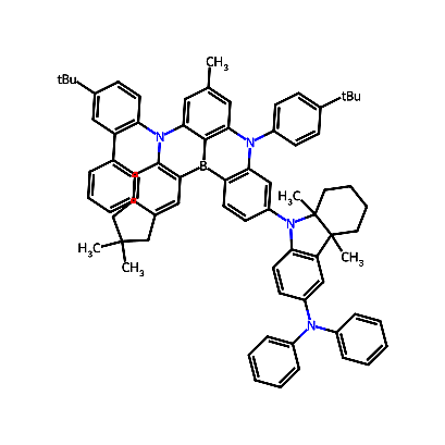 Cc1cc2c3c(c1)N(c1ccc(C(C)(C)C)cc1-c1ccccc1)c1cc4c(cc1B3c1ccc(N3c5ccc(N(c6ccccc6)c6ccccc6)cc5C5(C)CCCCC35C)cc1N2c1ccc(C(C)(C)C)cc1)CC(C)(C)C4